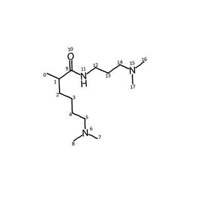 CC(CCCCN(C)C)C(=O)NCCCN(C)C